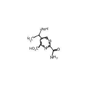 CCCCCC(C)c1cnc(C(N)=O)nc1C(=O)O